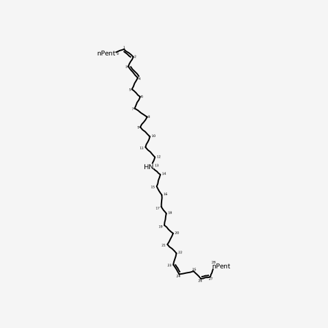 CCCCC/C=C\C=C\CCCCCCCCNCCCCCCCCC/C=C\C/C=C\CCCCC